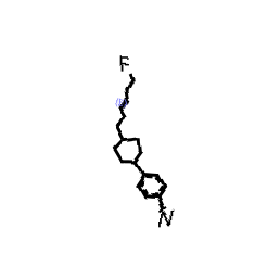 N#Cc1ccc(C2CCC(CC/C=C/CCF)CC2)cc1